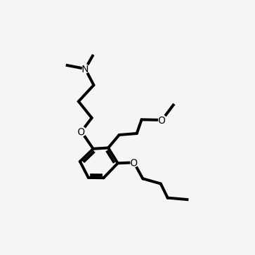 CCCCOc1cccc(OCCCN(C)C)c1CCCOC